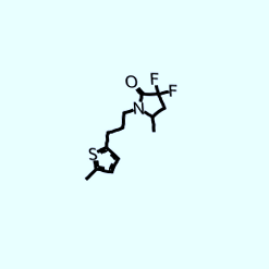 Cc1ccc(CCCN2C(=O)C(F)(F)CC2C)s1